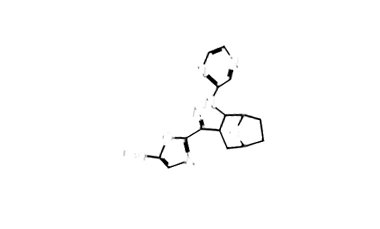 CC(C)(C)c1cnc(C2=NN(c3cnccn3)C3C4CCC(CC23)O4)o1